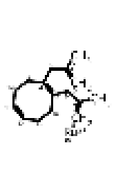 C=C(C)CC1=C(CC(=C)C)CCC=CCC1.[Ru+2]